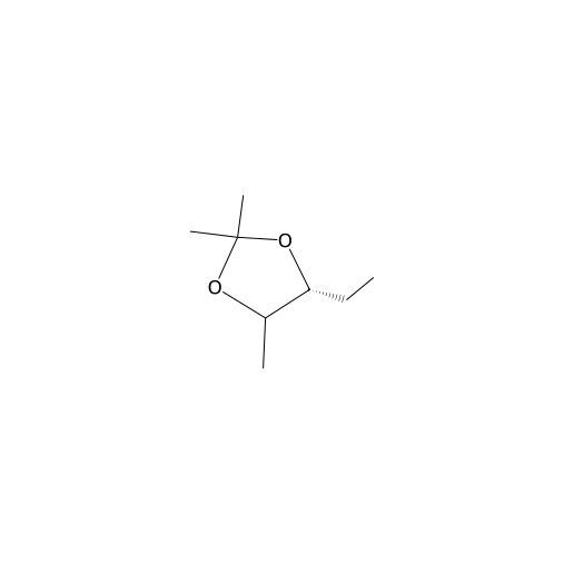 CC[C@H]1OC(C)(C)OC1C